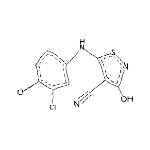 N#Cc1c(O)nsc1Nc1ccc(Cl)c(Cl)c1